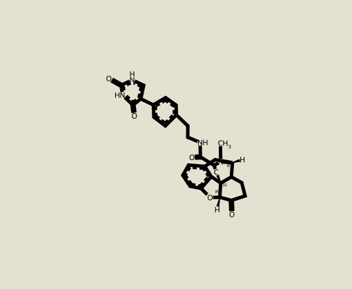 CN1C(C(=O)NCCc2ccc(-c3c[nH]c(=O)[nH]c3=O)cc2)C[C@]23c4c5cccc4O[C@H]2C(=O)CCC3[C@H]1C5